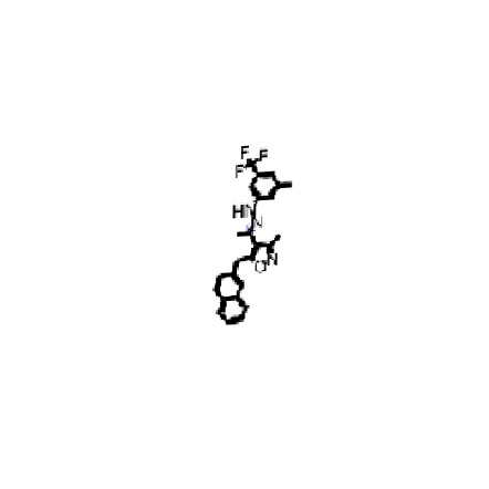 C/C(=N\Nc1cc(C)cc(C(F)(F)F)c1)c1c(C)noc1Cc1ccc2ccccc2c1